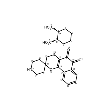 O=C(O)[C@H]1CCCC[C@H]1C(=O)O.O=C1C(=O)c2ccccc2C2=C1SCC1(CCNCC1)O2